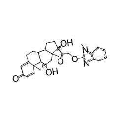 Cn1c(OCC(=O)[C@@]2(O)CCC3C4CCC5=CC(=O)C=CC5(C)C4[C@@H](O)CC32C)nc2ccccc21